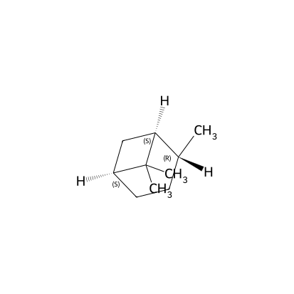 C[C@@H]1CC[C@H]2C[C@@H]1C2(C)C